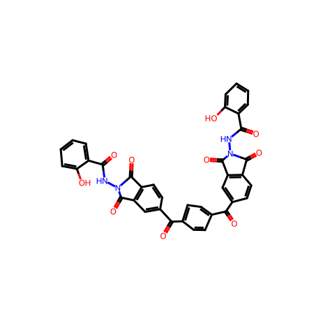 O=C(c1ccc(C(=O)c2ccc3c(c2)C(=O)N(NC(=O)c2ccccc2O)C3=O)cc1)c1ccc2c(c1)C(=O)N(NC(=O)c1ccccc1O)C2=O